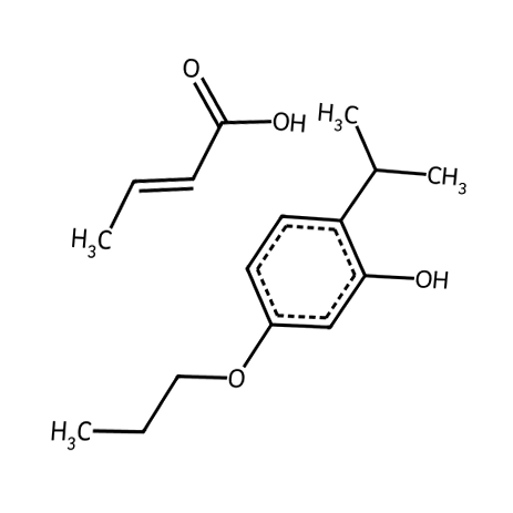 CC=CC(=O)O.CCCOc1ccc(C(C)C)c(O)c1